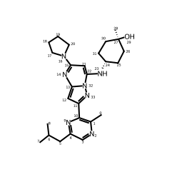 Cc1ncc(CC(C)C)nc1-c1cc2nc(N3CCCC3)cc(N[C@H]3CC[C@](C)(O)CC3)n2n1